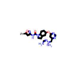 CC(C)c1cc(NC(=O)n2ccc3cc(Oc4cc(CN(N)/N=C\N)ncn4)ccc32)no1